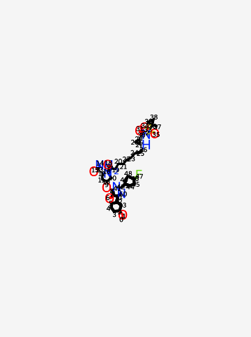 COc1ccc2oc3c(O[C@@H]4C[C@@H](C(N)=O)N(C(=O)CCCCCC/C=C\[C@@H]5C[C@@H]5C(=O)NS(=O)(=O)C5(C)CC5)C4)nc(-c4ccc(F)cc4)nc3c2c1